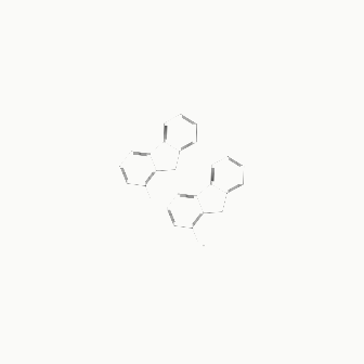 Oc1cccc2c1Cc1ccccc1-2.Oc1cccc2c1Cc1ccccc1-2